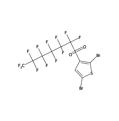 O=S(=O)(c1cc(Br)sc1Br)C(F)(F)C(F)(F)C(F)(F)C(F)(F)C(F)(F)C(F)(F)F